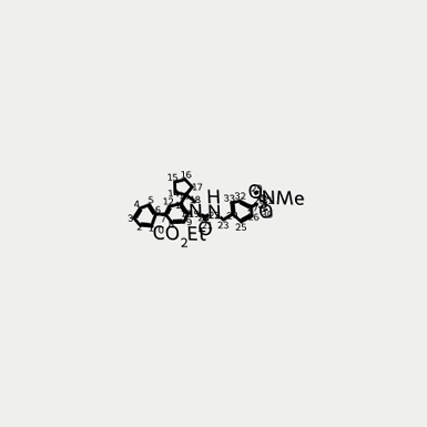 CCOC(=O)c1ccccc1-c1ccc2c(c1)C1(CCCC1)CN2C(=O)NCc1ccc(S(=O)(=O)NC)cc1